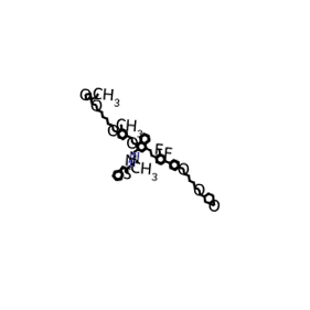 CCC1(COCCCCCCOc2ccc(COc3c(/C=N/N=C(\C)c4cc5ccccc5s4)cc(CCc4ccc(-c5ccc(OCCCCCOCC6CCC7OC7C6)cc5)c(F)c4F)c4ccccc34)cc2C)COC1